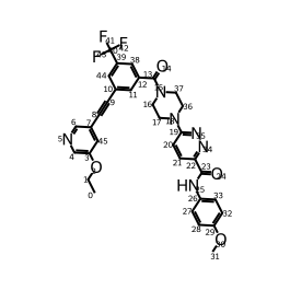 CCOc1cncc(C#Cc2cc(C(=O)N3CCN(c4ccc(C(=O)Nc5ccc(OC)cc5)nn4)CC3)cc(C(F)(F)F)c2)c1